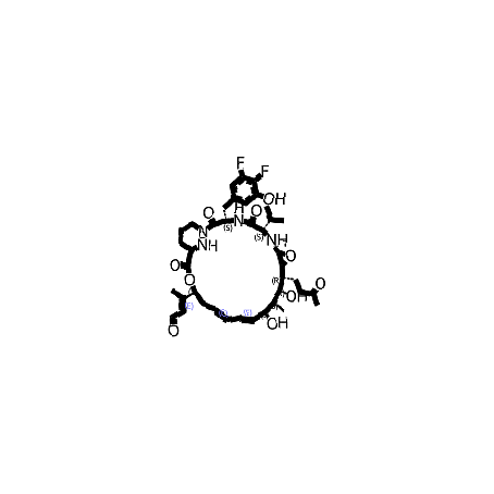 CC(=O)CC[C@H]1C2OC2N[C@@H](C(C)C)C(=O)N[C@@H](Cc2cc(O)c(F)c(F)c2)C(=O)N2CCCC(N2)C(=O)O[C@H](/C(C)=C/C=O)C/C=C/C=C/[C@H](O)[C@H](C)[C@H]1O